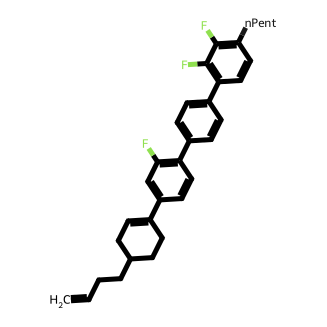 C=CCCC1CC=C(c2ccc(-c3ccc(-c4ccc(CCCCC)c(F)c4F)cc3)c(F)c2)CC1